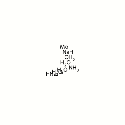 N.O.O.O.O.[Mo].[NaH].[NaH]